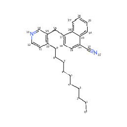 CCCCCCCCCCc1ccncc1Cc1ccc(C#N)c2ccccc12